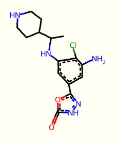 CC(Nc1cc(-c2n[nH]c(=O)o2)cc(N)c1Cl)C1CCNCC1